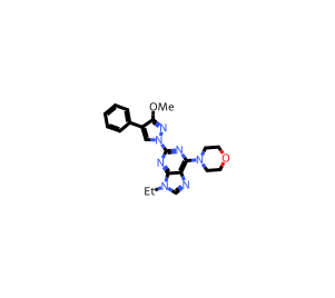 CCn1cnc2c(N3CCOCC3)nc(-n3cc(-c4ccccc4)c(OC)n3)nc21